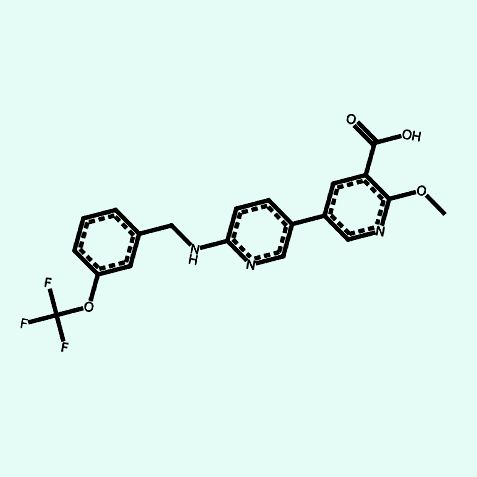 COc1ncc(-c2ccc(NCc3cccc(OC(F)(F)F)c3)nc2)cc1C(=O)O